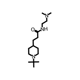 CN(C)CCNC(=O)CCC1CCN(C(C)(C)C)CC1